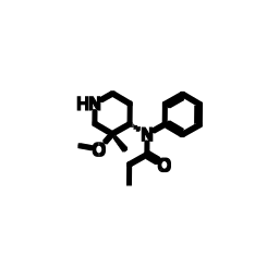 CCC(=O)N(c1ccccc1)[C@H]1CCNC[C@@]1(C)OC